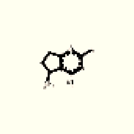 Cc1ccc2c(n1)CCC2N.Cl